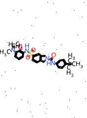 COc1c(NS(=O)(=O)c2ccc3c(c2)CN(C(=O)Nc2ccc(C(C)(C)C)cc2)C3)cccc1N(C)C